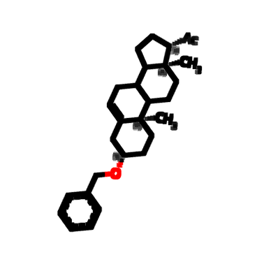 CC(=O)[C@H]1CCC2C3CC=C4C[C@@H](OCc5ccccc5)CC[C@]4(C)C3CC[C@@]21C